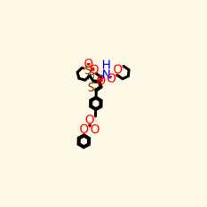 O=C(C[C@]1(c2ccc(-c3ccc(COC(=O)Oc4ccccc4)cc3)s2)CCCCS1(=O)=O)NOC1CCCCO1